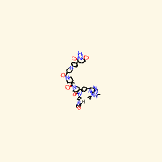 CC(C)n1cnc2cc(-c3ccc4c(c3)N(C3CC(N5C6COC[C@@H]5C6)C3)C(=O)C43CCN(C(=O)C4(C)CCN(C(=O)C5CCN(c6ccc([C@H]7CCC(=O)NC7=O)cc6)CC5)CC4)CC3)nc(NC3CC3)c21